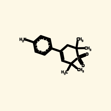 CC1(C)C=C(c2ccc(N)cc2)CC(C)(C)S1(=O)=O